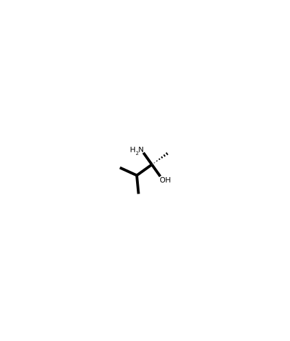 CC(C)[C@@](C)(N)O